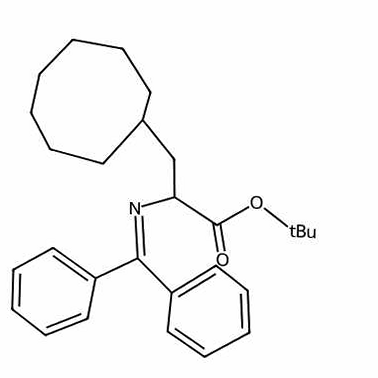 CC(C)(C)OC(=O)C(CC1CCCCCCC1)N=C(c1ccccc1)c1ccccc1